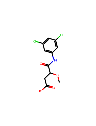 COC(CC(=O)O)C(=O)Nc1cc(Cl)cc(Cl)c1